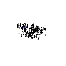 C=C/N=C(\C=N/C)C(=O)N[C@H](C(=O)N[C@H](C(=O)N1C[C@@H]2CC3CC3[C@@H]2[C@H]1C(=O)N[C@@H](C)C(=O)C(=O)NC1CC1)C(C)(C)C)C(C)C